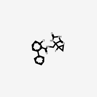 O=C1NC(=O)C(CNC(=O)c2c(Cl)cccc2-c2ccccc2)(C2(F)CC2)N1